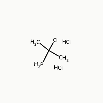 CC(C)(P)Cl.Cl.Cl